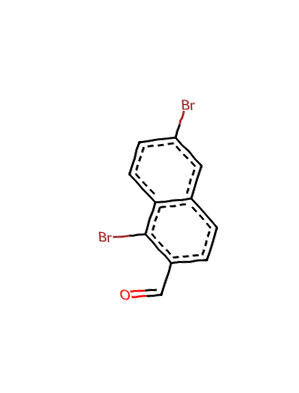 O=Cc1ccc2cc(Br)ccc2c1Br